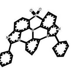 O=S1(=O)c2ccc3nc(-c4ccccc4)n4c3c2B2c3c-4cccc3-n3c(-c4ccccc4)nc4ccc1c2c43